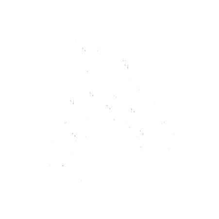 Cc1cccc2cccc(N3CCc4c(nc(OC[C@@H]5CCCN5C)nc4N4CCN(C(=O)C5=CC=CC=CN5C)[C@@H](CC#N)C4)C3)c12